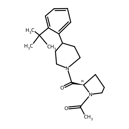 CC(=O)N1CCC[C@@H]1C(=O)N1CCC(c2ccccc2C(C)(C)C)CC1